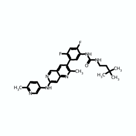 Cc1ccc(Nc2cc3nc(C)c(-c4cc(NC(=O)NCCC(C)(C)C)c(F)cc4F)cc3cn2)cn1